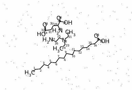 CCCCCCCCCCCCCCCCCC(=O)O.CCN(CC)CCN.NC(CCC(=O)O)C(=O)O